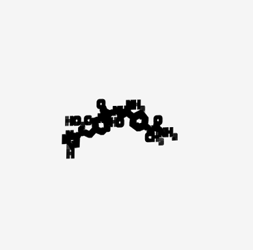 CN(C(N)=O)c1ccc(C(N)C(=O)NC2C(=O)N3C(C(=O)O)=C(CSc4c[nH]nn4)CS[C@@H]23)cc1